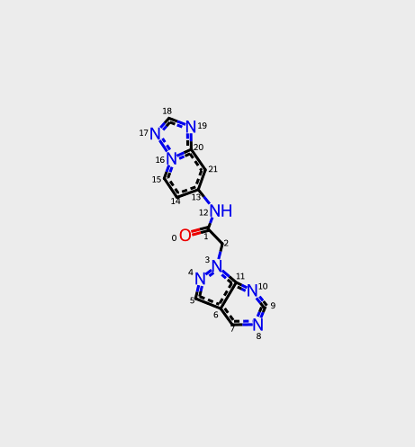 O=C(Cn1ncc2cncnc21)Nc1ccn2ncnc2c1